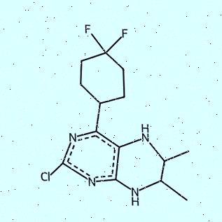 CC1Nc2nc(Cl)nc(C3CCC(F)(F)CC3)c2NC1C